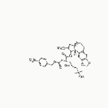 COC1=CC23CCCN2CCc2cc4c(cc2[C@@H]3C1OC(=O)[C@@](O)(CCCC(C)(C)O)CC(=O)OCc1ccc([N+](=O)[O-])cc1)OCO4